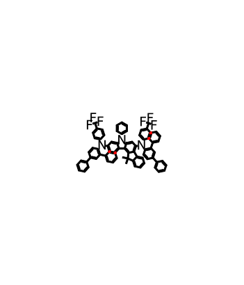 CC1(C)c2ccccc2-c2c(N(c3ccc(C(F)(F)F)cc3)c3ccc(-c4ccccc4)cc3-c3ccccc3)cc3c(c21)c1ccc(N(c2ccc(C(F)(F)F)cc2)c2ccc(-c4ccccc4)cc2-c2ccccc2)cc1n3-c1ccccc1